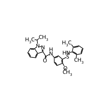 COc1ccc(NC(=O)c2nn(C(C)C)c3ccccc23)cc1SNc1c(C)cccc1C